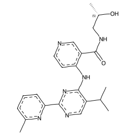 Cc1cccc(-c2ncc(C(C)C)c(Nc3ccncc3C(=O)NC[C@H](C)O)n2)n1